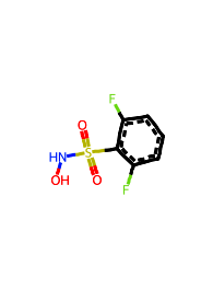 O=S(=O)(NO)c1c(F)cccc1F